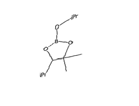 CC(C)OB1OC(C(C)C)C(C)(C)O1